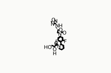 O=C1O[C@@H](CNc2ncon2)CN1c1cc(F)c(C2C=CCCN2C(=O)[C@@H](O)CO)c(F)c1